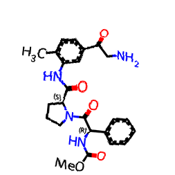 COC(=O)N[C@@H](C(=O)N1CCC[C@H]1C(=O)Nc1cc(C(=O)CN)ccc1C)c1ccccc1